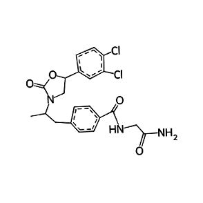 CC(Cc1ccc(C(=O)NCC(N)=O)cc1)N1CC(c2ccc(Cl)c(Cl)c2)OC1=O